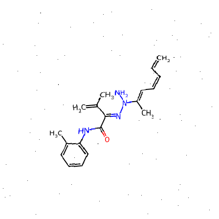 C=C/C=C\C=C(/C)N(N)/N=C(\C(=C)C)C(=O)Nc1ccccc1C